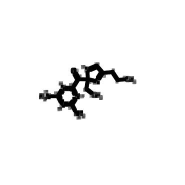 CCCC1=NC(CC)(C(=O)c2nc(N)nc(N)n2)N=C1